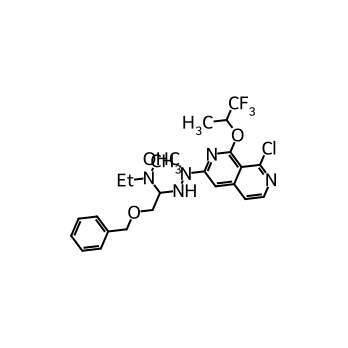 CCN(C)C(COCc1ccccc1)NN(C=O)c1cc2ccnc(Cl)c2c(OC(C)C(F)(F)F)n1